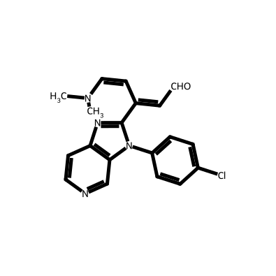 CN(C)/C=C\C(=C/C=O)c1nc2ccncc2n1-c1ccc(Cl)cc1